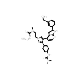 CN(C)C(=O)Nc1ccc(-c2nn(CCN(C)C(=O)OC(C)(C)C)cc2-c2ccnc3[nH]c(-c4cccc(CO)c4)cc23)cc1